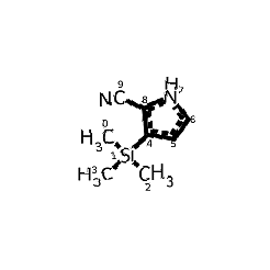 C[Si](C)(C)c1cc[nH]c1C#N